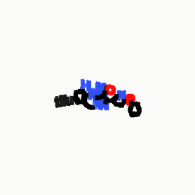 CC(C)(C)c1ccc2c(c1)CCn1nc(-c3ccc(Oc4ccccc4)nc3)c(C(N)=O)c1N2